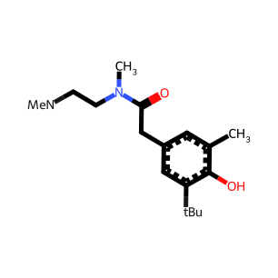 CNCCN(C)C(=O)Cc1cc(C)c(O)c(C(C)(C)C)c1